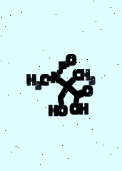 CN(P=O)C(C)(CO)C(=O)O